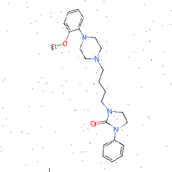 CCOc1ccccc1N1CCN(CCCCN2CCN(c3ccccc3)C2=O)CC1